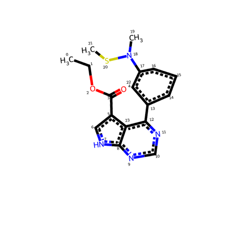 CCOC(=O)c1c[nH]c2ncnc(-c3cccc(N(C)SC)c3)c12